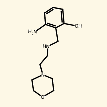 Nc1cccc(O)c1CNCCN1CCOCC1